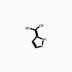 N#CC(C#N)=C1C=CSN1